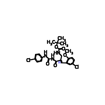 COc1ccc(Cl)cc1/C=C(\CNC(=O)OC(C)(C)C)C(=O)NC(=O)Nc1ccc(Cl)cc1